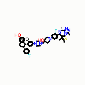 COc1cc(N2CCN(CC3(O)CCN(c4ccc(C5=N[C@@H](C)c6nnc(C)n6-c6sc(C)c(C)c65)c(F)c4)CC3)CC2)ccc1[C@H]1c2ccc(O)cc2CC[C@H]1c1ccc(F)cc1